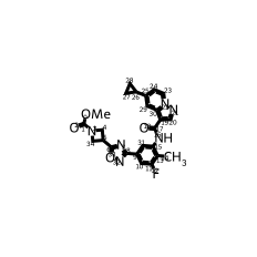 COC(=O)N1CC(c2nc(-c3cc(F)c(C)c(NC(=O)c4cnn5ccc(C6CC6)cc45)c3)no2)C1